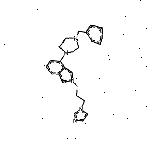 c1ccc(CN2CCN(c3cccc4cn(CCCn5ccnc5)cc34)CC2)cc1